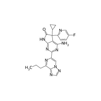 CCCc1nc(-c2nc(N)c3c(n2)NC(=O)C3(c2ccc(F)cn2)C2CC2)cn2ncnc12